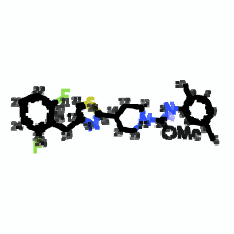 CO/C(=N\c1cc(C)ccc1C)N1CCC(c2nc(Cc3c(F)cccc3F)cs2)CC1